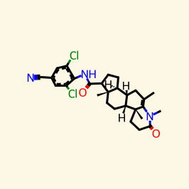 CC1=C2N(C)C(=O)CC[C@]2(C)[C@@H]2CC[C@]3(C)C(C(=O)Nc4c(Cl)cc(C#N)cc4Cl)CC[C@H]3[C@@H]2C1